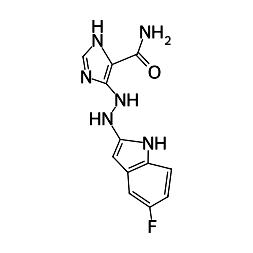 NC(=O)c1[nH]cnc1NNc1cc2cc(F)ccc2[nH]1